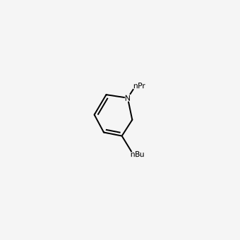 CCCCC1=CC=CN(CCC)C1